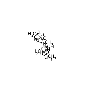 CC1=C[C@H](N(C)[C@H]2C=C(I)[C@H]3OC(C)(C)O[C@H]3[C@@H]2O)[C@@H](O)[C@@H]2OC(C)(C)O[C@H]12